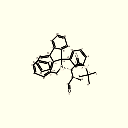 C[C@@H](C=O)[C@@H](C(=O)OC(C)(C)C)N(Cc1ccccc1)C1(c2ccccc2)c2ccccc2-c2ccccc21